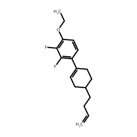 C=CCCC1CC=C(c2ccc(OCC)c(F)c2F)CC1